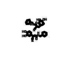 N#CC(=CC(=O)NCc1ccccc1)c1ccc(O)c(O)c1.N#CC(=Cc1ccc(O)c(O)c1)C(=O)NCc1ccccc1